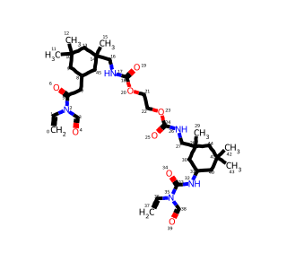 C=CN(C=O)C(=O)CC1CC(C)(C)CC(C)(CNC(=O)OCCOC(=O)NCC2(C)CC(NC(=O)N(C=C)C=O)CC(C)(C)C2)C1